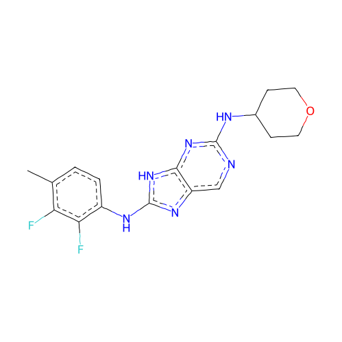 Cc1ccc(Nc2nc3cnc(NC4CCOCC4)nc3[nH]2)c(F)c1F